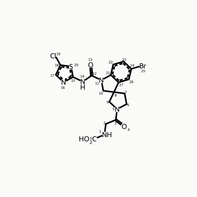 O=C(O)NCC(=O)N1CCC2(C1)CN(C(=O)Nc1ncc(Cl)s1)c1ccc(Br)cc12